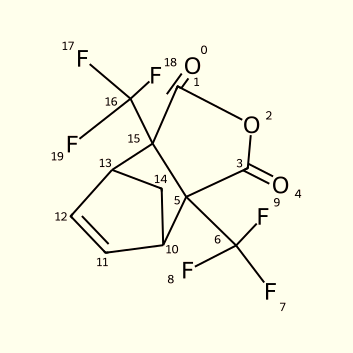 O=C1OC(=O)C2(C(F)(F)F)C3C=CC(C3)C12C(F)(F)F